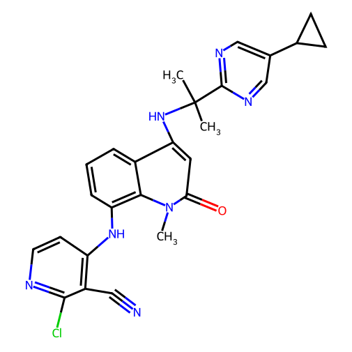 Cn1c(=O)cc(NC(C)(C)c2ncc(C3CC3)cn2)c2cccc(Nc3ccnc(Cl)c3C#N)c21